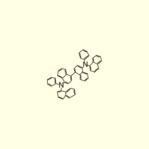 c1ccc(N(c2cccc3ccccc23)c2ccc(-c3ccc(N(c4ccccc4)c4cccc5ccccc45)c4ccccc34)c3ccccc23)cc1